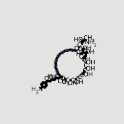 CC1/C=C/C=C/C=C\C=C/C=C/C=C/C=C/C(OCOC[C@@H](O)[C@@H](C)N)C[C@@H]2OC(O)(CC(O)CC(O)CC(O)CCCC(O)CC(O)CC(=O)OC1C(C)CCC(O)CC(=O)c1ccc(N)cc1)CC(O)C2C(=O)O